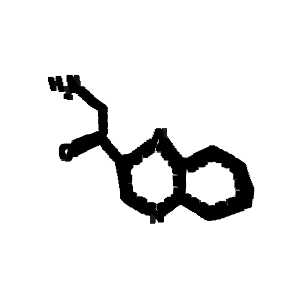 NCC(=O)c1cnc2ccccc2n1